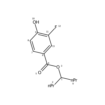 CCCC(CCC)OC(=O)c1ccc(O)c(F)c1